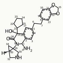 NC1c2ccc(CCc3ccc4c(c3)OCO4)cc2C(O)(C2CCCC2)C(=O)N1C12CNC[C@@H]1C2